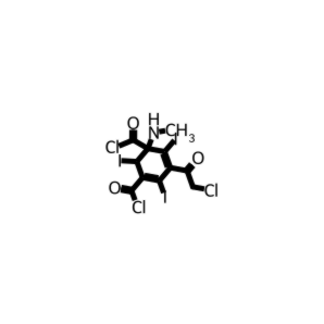 CNC1(C(=O)Cl)C(I)=C(C(=O)CCl)C(I)=C(C(=O)Cl)C1I